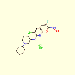 Cl.Cl.O=C(NO)/C(F)=C\c1cnc(N[C@@H]2CCCN(C3CCCCC3)C2)c(Cl)c1